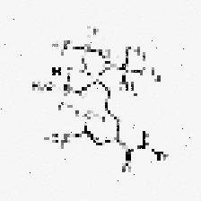 CCNC(=O)N(C=C(C)C(=O)O)CCC[Si](O[Si](C)(C)C)(O[Si](C)(C)C)O[Si](C)(C)C